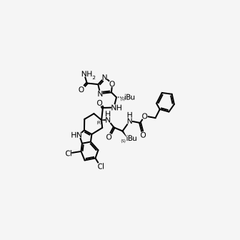 CC[C@H](C)C(NC(=O)OCc1ccccc1)C(=O)N[C@]1(C(=O)NC(c2nc(C(N)=O)no2)[C@@H](C)CC)CCc2[nH]c3c(Cl)cc(Cl)cc3c2C1